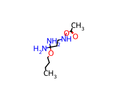 CCCCOC(N)(N)CCNOC(C)=O